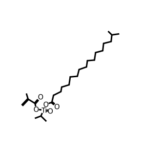 C=C(C)C(=O)[O][Ti](=[O])([O]C(=O)CCCCCCCCCCCCCCC(C)C)[CH](C)C